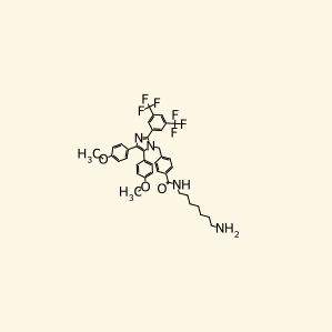 COc1ccc(-c2nc(-c3cc(C(F)(F)F)cc(C(F)(F)F)c3)n(Cc3ccc(C(=O)NCCCCCCCN)cc3)c2-c2ccc(OC)cc2)cc1